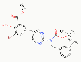 COC(=O)c1cc(-c2cnc(N(Cc3cccc(C)c3)C(=O)OC(C)(C)C)nc2)cc(Br)c1O